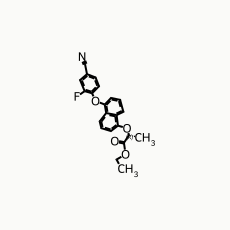 CCOC(=O)[C@@H](C)Oc1cccc2c(Oc3ccc(C#N)cc3F)cccc12